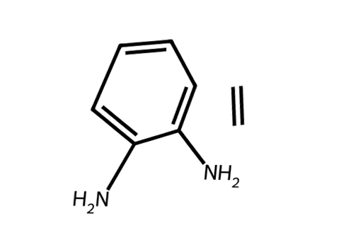 C=C.Nc1ccccc1N